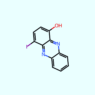 Oc1ccc(I)c2nc3ccccc3nc12